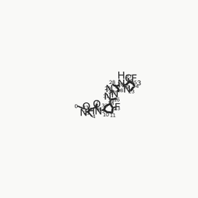 Cc1nc(C)c(C(=O)Nc2ccc(F)c(-c3cn4cc(Nc5ncccc5C(F)(F)F)cnc4n3)c2)o1